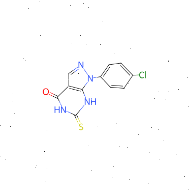 O=c1[nH]c(=S)[nH]c2c1cnn2-c1ccc(Cl)cc1